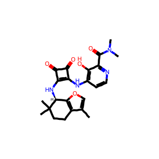 Cc1coc2c1CCC(C)(C)[C@H]2Nc1c(Nc2ccnc(C(=O)N(C)C)c2O)c(=O)c1=O